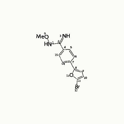 CONC(=N)c1ccc(-c2ccc(Br)o2)cc1